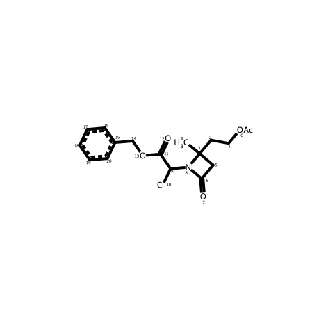 CC(=O)OCCC1(C)CC(=O)N1C(Cl)C(=O)OCc1ccccc1